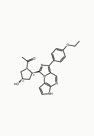 CCOc1ccc(-c2nc([C@H]3C[C@@H](O)CN3C(C)=O)n3c2cnc2[nH]ccc23)cc1